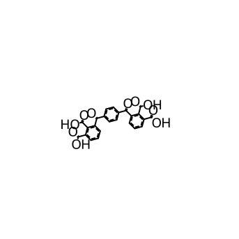 O=C(O)c1cccc(C(=O)c2ccc(C(=O)c3cccc(C(=O)O)c3C(=O)O)cc2)c1C(=O)O